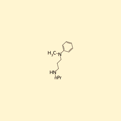 CCCNCCCN(C)c1ccccc1